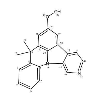 CC1(C)c2ccccc2-n2c3cnccc3c3cc(OO)cc1c32